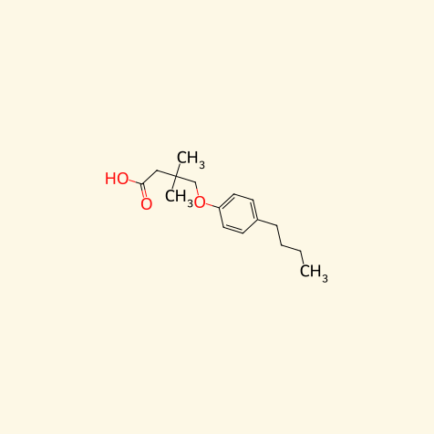 CCCCc1ccc(OCC(C)(C)CC(=O)O)cc1